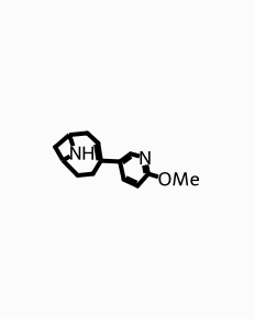 COc1ccc(/C2=C/CC3CC(CC2)N3)cn1